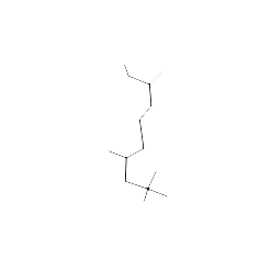 CC(CCCC(C)CC(C)(C)C(=O)O)CC(C)(C)C